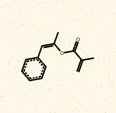 C=C(C)C(=O)OC(C)=Cc1ccccc1